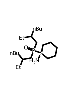 CCCCC(CC)CP(=O)(CC(CC)CCCC)S1(N)CCCCC1